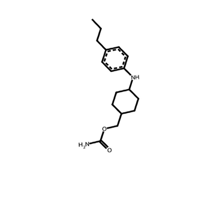 CCCc1ccc(NC2CCC(COC(N)=O)CC2)cc1